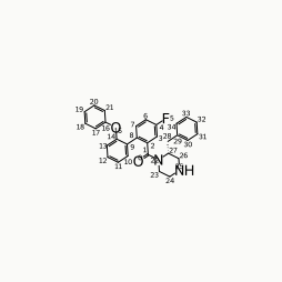 O=C(c1cc(F)ccc1-c1ccccc1Oc1ccccc1)N1CCNC[C@H]1Cc1ccccc1